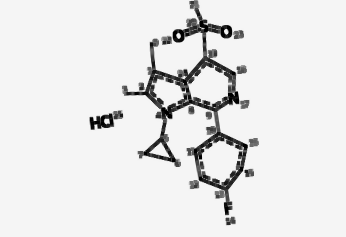 Cc1c(C)n(C2CC2)c2c(-c3ccc(F)cc3)ncc(S(C)(=O)=O)c12.Cl